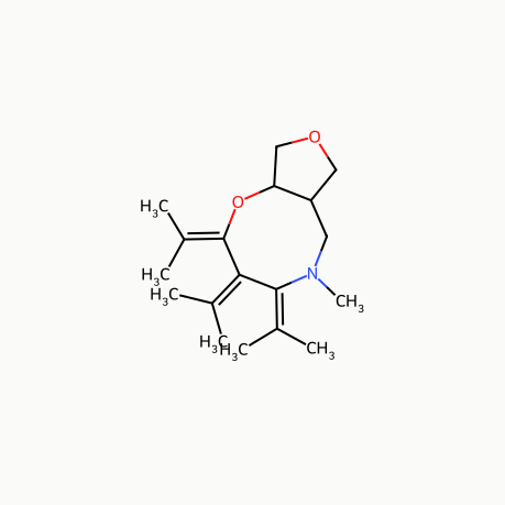 CC(C)=C1OC2COCC2CN(C)C(=C(C)C)C1=C(C)C